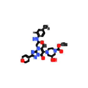 CCc1c(N2CCN(C(=O)OC(C)(C)C)CC(O)C2)c(=O)n2nc(C3=CCOCC3)nc2n1CC(=O)Nc1ccc(C(F)(F)F)cc1C